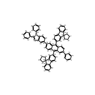 c1ccc(-c2ccc3c(-c4ccc5c(c4)C4(CCCC4)c4ccccc4-5)c4cc(-c5ccc6c(c5)nc(-c5ccccc5)n6-c5ccccc5)ccc4c(-c4ccc5c(c4)C4(CCCC4)c4ccccc4-5)c3c2)cc1